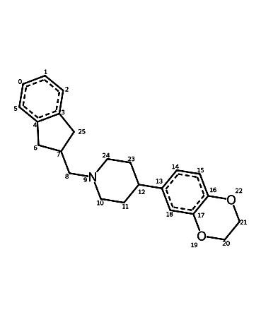 c1ccc2c(c1)CC(CN1CCC(c3ccc4c(c3)OCCO4)CC1)C2